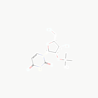 CC(C)(C)[Si](C)(C)O[C@@H]1[C@@H](O)[C@@H](CO)O[C@H]1n1ccc(=O)[nH]c1=O